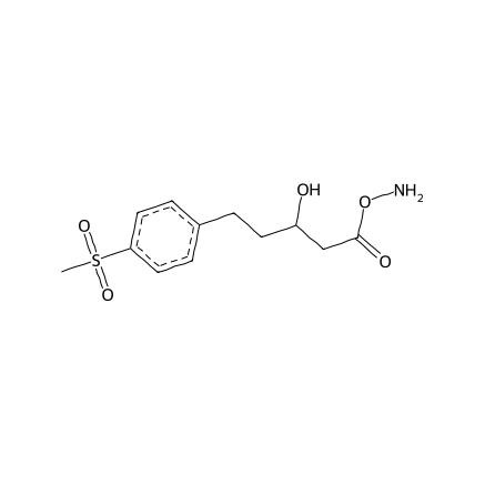 CS(=O)(=O)c1ccc(CCC(O)CC(=O)ON)cc1